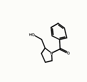 O=C(c1cc[c]cc1)N1CCCC1CO